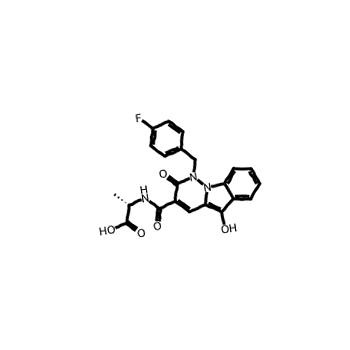 C[C@H](NC(=O)c1cc2c(O)c3ccccc3n2n(Cc2ccc(F)cc2)c1=O)C(=O)O